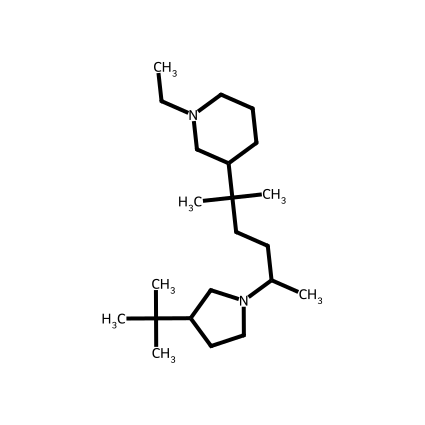 CCN1CCCC(C(C)(C)CCC(C)N2CCC(C(C)(C)C)C2)C1